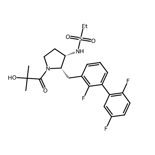 CCS(=O)(=O)N[C@H]1CCN(C(=O)C(C)(C)O)[C@H]1Cc1cccc(-c2cc(F)ccc2F)c1F